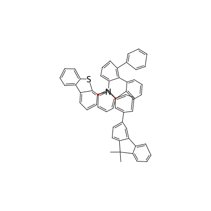 CC1(C)c2ccccc2-c2cc(-c3cccc(N(c4cccc(-c5ccccc5)c4-c4ccccc4-c4ccccc4)c4cccc5c4sc4ccccc45)c3)ccc21